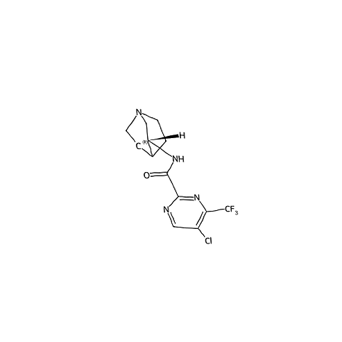 O=C(N[C@H]1CN2CCC1CC2)c1ncc(Cl)c(C(F)(F)F)n1